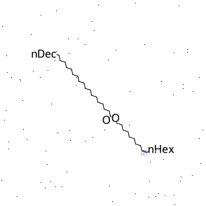 CCCCCC/C=C\CCCCCCCCOC(=O)CCCCCCCCCCCCCCCCCCCCCCCCCCC